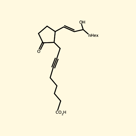 CCCCCCC(O)/C=C/C1CCC(=O)C1CC#CCCCCC(=O)O